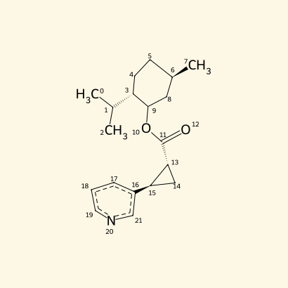 CC(C)[C@@H]1CC[C@@H](C)CC1OC(=O)[C@@H]1C[C@H]1c1cccnc1